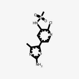 Cc1nc(N)sc1-c1cnc(Cl)c(NS(C)(=O)=O)c1